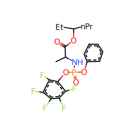 CCCC(CC)OC(=O)C(C)N[P@](=O)(Oc1ccccc1)Oc1c(F)c(F)c(F)c(F)c1F